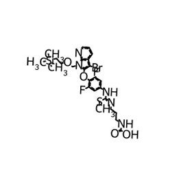 CS/C(=N\CCCNC(=O)O)Nc1cc(F)c(Oc2c(Br)c3cccnc3n2COCC[Si](C)(C)C)c(F)c1